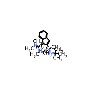 C[N](C)[Mo]([CH]1C([Si](C)(C)NC(C)(C)C)=Cc2ccccc21)[N](C)C